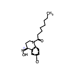 CCCCCCCC(=O)N1CC/C(=N/O)c2cc(Cl)ccc21